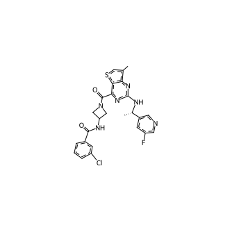 Cc1csc2c(C(=O)N3CC(NC(=O)c4cccc(Cl)c4)C3)nc(N[C@@H](C)c3cncc(F)c3)nc12